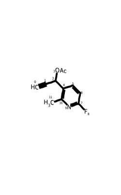 C#CC(OC(C)=O)c1ccc(F)nc1C